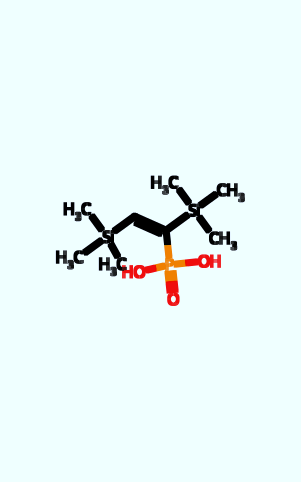 C[Si](C)(C)/C=C(/[Si](C)(C)C)P(=O)(O)O